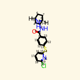 O=C(N[C@@H]1C[C@H]2CC[C@@H]1N2)c1ccc(Sc2cccc(Cl)n2)cc1